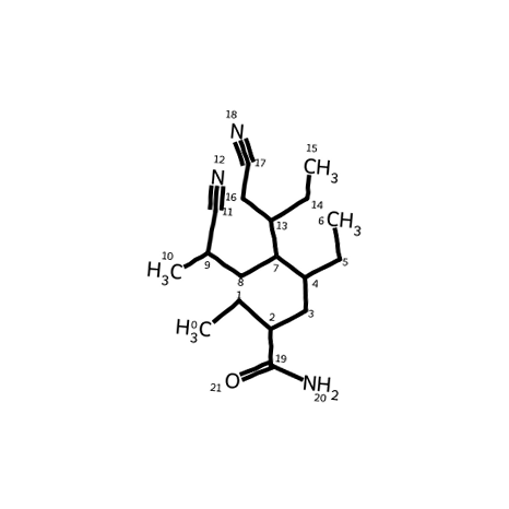 CCC(CC(CC)C(CC(C)C#N)C(CC)CC#N)C(N)=O